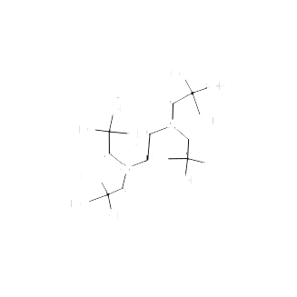 CC(C)(O)CN(CCN(CC(C)(C)O)CC(C)(C)O)CC(C)(C)O